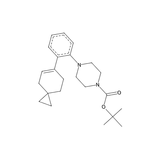 CC(C)(C)OC(=O)N1CCN(c2ccccc2C2=CCC3(CC2)CC3)CC1